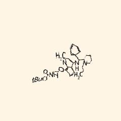 C=CCN1CCCC[C@H]1[C@@H](Nc1cc(C)nc2c(OCCNC(=O)OC(C)(C)C)cccc12)c1ccccc1